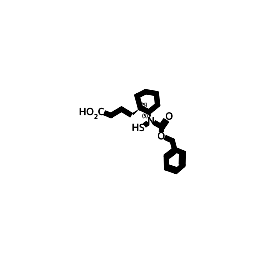 O=C(O)CCC[C@@H]1CCCC[C@@H]1N(S)C(=O)OCc1ccccc1